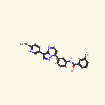 CC(=O)Nc1ccc(-c2cnn3c(-c4cccc(NC(=O)c5cccc(C(F)(F)F)c5)c4)ccnc23)cn1